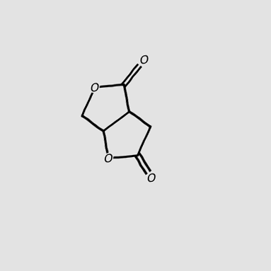 O=C1CC2C(=O)OCC2O1